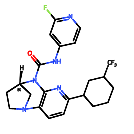 O=C(Nc1ccnc(F)c1)N1c2nc(C3CCCC(C(F)(F)F)C3)ccc2N2CC[C@H]1C2